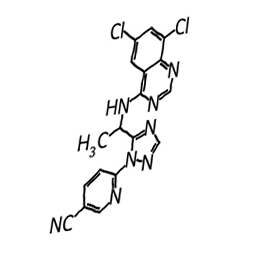 CC(Nc1ncnc2c(Cl)cc(Cl)cc12)c1ncnn1-c1ccc(C#N)cn1